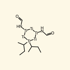 CC[CH](C)[Ti]1([CH](C)CC)[Ti][Ti]([NH]C=O)[Ti][Ti]([NH]C=O)[Ti]1